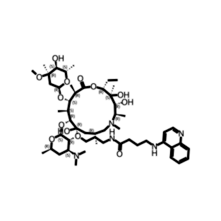 CC[C@H]1OC(=O)[C@H](C)[C@@H](O[C@H]2C[C@@](C)(OC)[C@@H](O)[C@H](C)O2)[C@H](C)[C@@H](O[C@@H]2O[C@H](C)C[C@H](N(C)C)[C@H]2OCCCNC(=O)CCCNc2ccnc3ccccc23)[C@](C)(O)C[C@@H](C)CN(C)[C@H](C)[C@@H](O)[C@]1(C)O